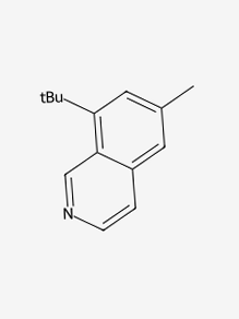 Cc1cc(C(C)(C)C)c2cnccc2c1